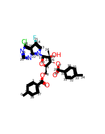 Cc1ccc(C(=O)OC[C@H]2O[C@@H](n3cc(F)c4c(Cl)ncnc43)[C@](C)(O)[C@@H]2OC(=O)c2ccc(C)cc2)cc1